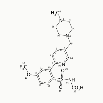 CN1CCN(Cc2ccc(-c3cc(OC(F)(F)F)ccc3S(=O)(=O)NC(=O)O)nc2)CC1